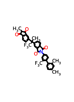 Cc1ccc(-c2ccc(N3C(=O)c4ccc(C(C)(c5ccc6c(c5)C(=O)C(C)C6=O)C(F)(F)F)cc4C3=O)cc2C(F)(F)F)c(C)c1